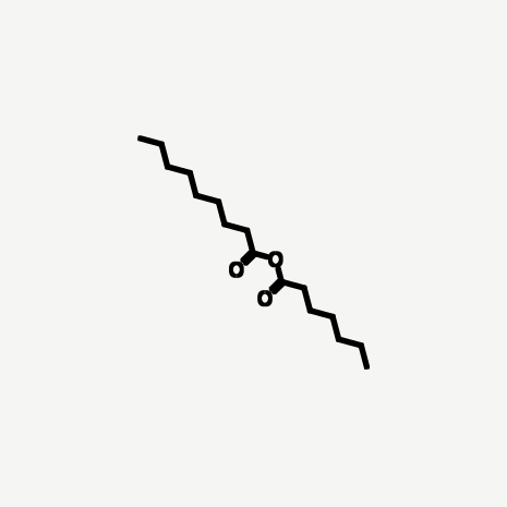 CCCCCCCCC(=O)OC(=O)CCCCCC